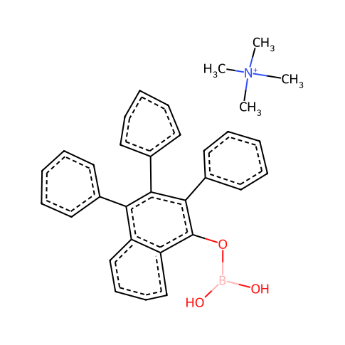 C[N+](C)(C)C.OB(O)Oc1c(-c2ccccc2)c(-c2ccccc2)c(-c2ccccc2)c2ccccc12